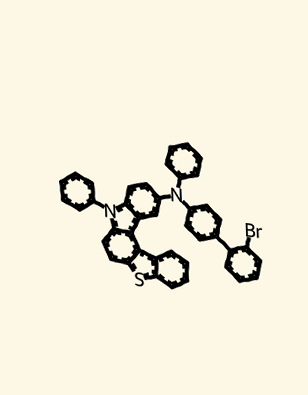 Brc1ccccc1-c1ccc(N(c2ccccc2)c2ccc3c(c2)c2c4c(ccc2n3-c2ccccc2)sc2ccccc24)cc1